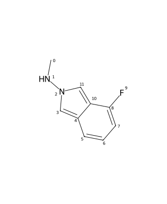 CNn1cc2cccc(F)c2c1